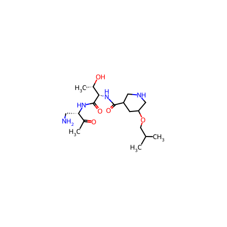 CC(=O)[C@H](CN)NC(=O)[C@@H](NC(=O)C1CNCC(OCC(C)C)C1)[C@H](C)O